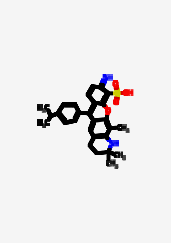 Cc1c2c(cc3c(-c4ccc(C(C)C)cc4)c4ccc(=N)c(S(=O)(=O)O)c-4oc13)CCC(C)(C)N2